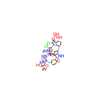 CC(C)C1NC(=O)[C@@H](NC(=O)[C@@H](O)C(C)C)Cc2ccc3c(c2)C24c5cc(Cl)cc(c5NC2O3)-c2cccc3c2c(c(Cl)n3OP(O)O)-c2oc(nc2Cl)-c2nc1oc24